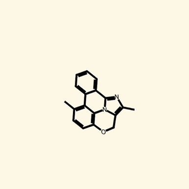 Cc1nc2c3ccccc3c3c(C)ccc4c3n2c1CO4